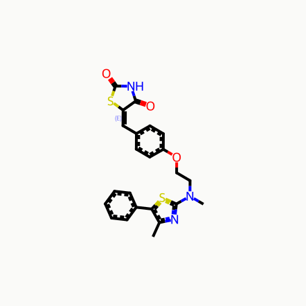 Cc1nc(N(C)CCOc2ccc(/C=C3/SC(=O)NC3=O)cc2)sc1-c1ccccc1